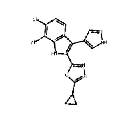 Clc1ccc2c(-c3cn[nH]c3)c(-c3nnc(C4CC4)o3)[nH]c2c1Cl